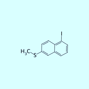 CSc1ccc2c(I)cccc2c1